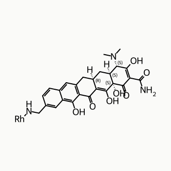 CN(C)[C@@H]1C(O)=C(C(N)=O)C(=O)[C@@]2(O)C(O)=C3C(=O)c4c(cc5ccc(C[NH][Rh])cc5c4O)C[C@H]3C[C@@H]12